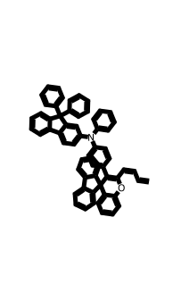 C=C/C=C\C1=C(c2ccc(N(c3ccccc3)c3ccc4c(c3)C(c3ccccc3)(c3ccccc3)c3ccccc3-4)cc2)C2(c3ccccc3O1)c1ccccc1-c1ccccc12